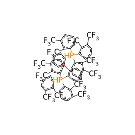 FC(F)(F)c1cccc([PH](c2ccccc2-c2ccccc2[PH](c2cccc(C(F)(F)F)c2C(F)(F)F)(c2cccc(C(F)(F)F)c2C(F)(F)F)c2cccc(C(F)(F)F)c2C(F)(F)F)(c2cccc(C(F)(F)F)c2C(F)(F)F)c2cccc(C(F)(F)F)c2C(F)(F)F)c1C(F)(F)F